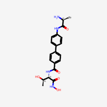 CC(C)[C@H](N)C(=O)Nc1ccc(-c2ccc(C(=O)N[C@H](C(=O)NO)[C@@H](C)O)cc2)cc1